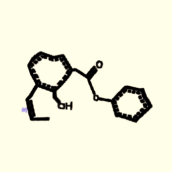 C/C=C\c1cccc(C(=O)Oc2ccccc2)c1O